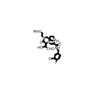 COCCN1CC2(CCOC2)N(/C=C(\C)C(=O)NCc2ccc(F)c(Cl)c2)/C(=C(/O)C=O)C1=O